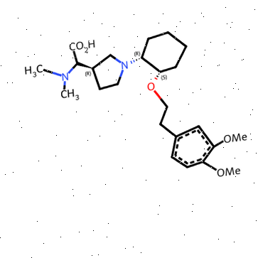 COc1ccc(CCO[C@H]2CCCC[C@H]2N2CC[C@@H](C(C(=O)O)N(C)C)C2)cc1OC